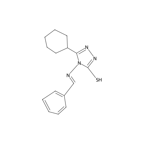 Sc1nnc(C2CCCCC2)n1N=Cc1ccccc1